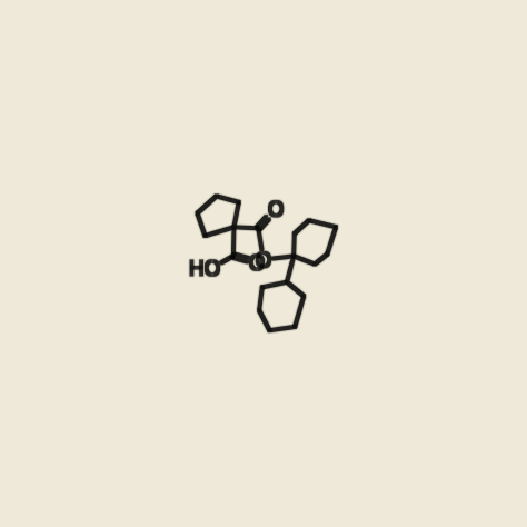 O=C(O)C1(C(=O)OC2(C3CCCCC3)CCCCC2)CCCC1